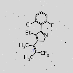 CCC1=C(/C(C)=C(/C)C(F)(F)F)CN=C1c1c(F)cccc1Cl